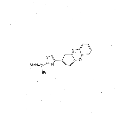 CN[C@@H](c1nc(C2=CC=C3Oc4ccccc4N=C3C2)cs1)C(C)C